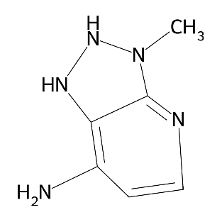 CN1NNc2c(N)ccnc21